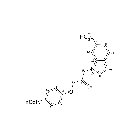 CCCCCCCCc1ccc(OCC(=O)Cn2ccc3ccc(C(=O)O)cc32)cc1